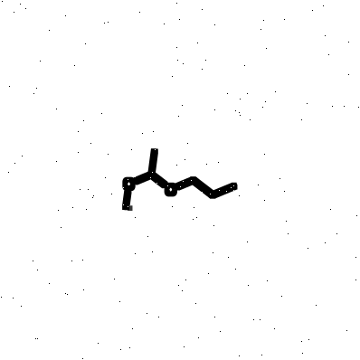 [CH2]OC(C)OCCC